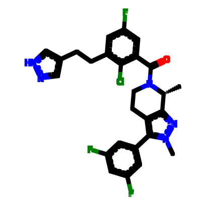 C[C@@H]1c2nn(C)c(-c3cc(F)cc(F)c3)c2CCN1C(=O)c1cc(F)cc(CCc2cn[nH]c2)c1Cl